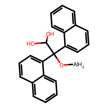 OC(O)C([O][AlH2])(c1cccc2ccccc12)c1cccc2ccccc12